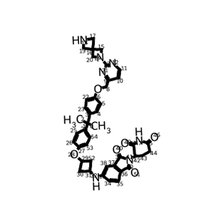 CC(C)(c1ccc(OCc2ccnc(N3CC4(CNC4)C3)n2)cc1)c1ccc(OC2CC(Nc3ccc4c(c3)C(=O)N(C3CCC(=O)NC3=O)C4=O)C2)cc1